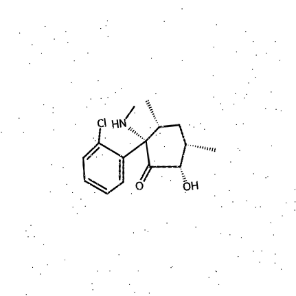 CN[C@@]1(c2ccccc2Cl)C(=O)[C@@H](O)[C@@H](C)C[C@H]1C